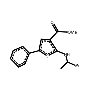 COC(=O)c1cc(-c2ccccc2)sc1NC(C)C(C)C